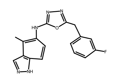 Cc1c(Nc2nnc(Cc3cccc(F)c3)o2)ccc2[nH]ncc12